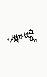 CN(C)S(=O)(=O)N[C@@H]1CN(C2=NOC(c3ncc(Cl)cc3-c3c(F)cccc3F)C2)C[C@@H]1F